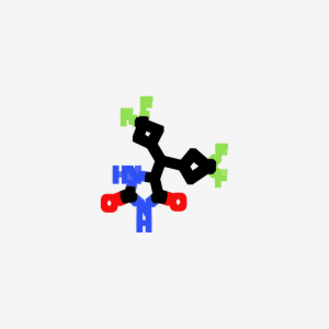 O=C1NC(=O)C(C(C2CC(F)(F)C2)C2CC(F)(F)C2)N1